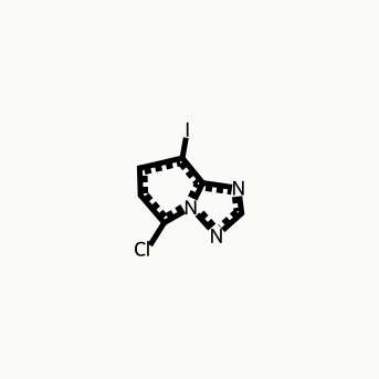 Clc1ccc(I)c2ncnn12